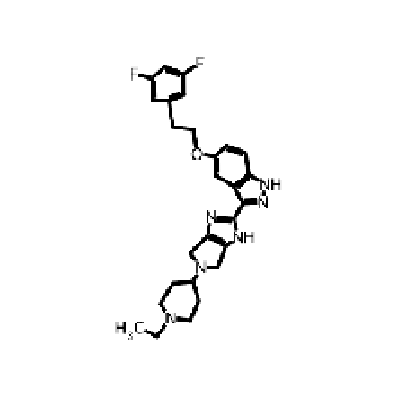 CCN1CCC(N2Cc3nc(-c4n[nH]c5ccc(OCCc6cc(F)cc(F)c6)cc45)[nH]c3C2)CC1